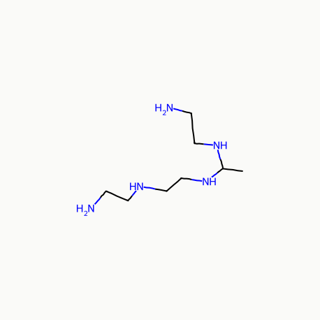 CC(NCCN)NCCNCCN